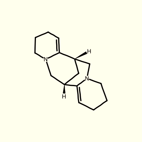 C1=C2[C@H]3C[C@@H](CN2CCC1)C1=CCCCN1C3